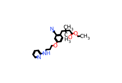 CCOC(=O)CC(C)(C)Cc1ccc(OCCCNc2ccccn2)cc1C#N